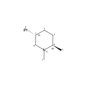 CC(C)[C@@H]1CC[C@@H](C)N(C)C1